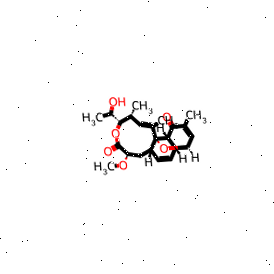 CO[C@H]1C[C@H]2C=C[C@H]3[C@@H]4C=C(C)C(=O)[C@H]3[C@]2(O4)/C(C)=C/[C@@H](C)[C@@H](C(C)O)OC1=O